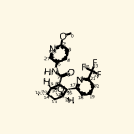 COc1ccc(NC(=O)[C@@H]2[C@@H]3O[C@H](C[C@@H]3C)[C@@H]2c2cccc(C(F)(F)F)n2)cn1